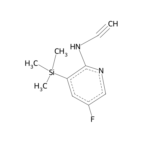 C#CNc1ncc(F)cc1[Si](C)(C)C